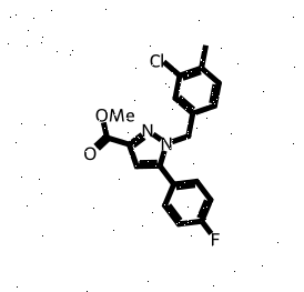 COC(=O)c1cc(-c2ccc(F)cc2)n(Cc2ccc(C)c(Cl)c2)n1